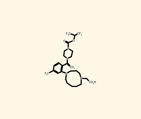 C=C(c1ccc(C(F)(F)F)cc1N1CCCCCN(CC(=O)O)CCC1)N1CCN(C(=O)OC(C(F)(F)F)C(F)(F)F)CC1